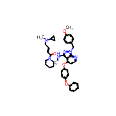 COc1ccc(Cn2nc(NC[C@@H]3CCCCN3C(=O)C=CCN(C)C3CC3)c3c(Oc4ccc(Oc5ccccc5)cc4)ccnc32)cc1